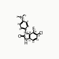 CN(C)c1ccc(-n2c(=O)[nH]c3ccc(Cl)c(F)c32)cc1